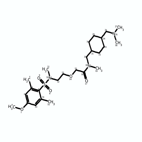 COc1cc(C)c(S(=O)(=O)N(C)CCOCC(=O)N(C)CC2CCC(CN(C)C)CC2)c(C)c1